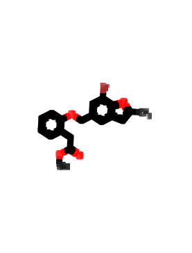 CC(C)(C)OC(=O)Cc1ccccc1OCc1cc(Br)c2oc(C(F)(F)F)cc2c1